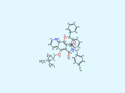 C[Si](C)(C)CCOc1c2c(c(OC(c3ccccc3)c3ccccc3)c3ncccc13)C(=O)N(Cc1ccc(F)cc1)C2=O